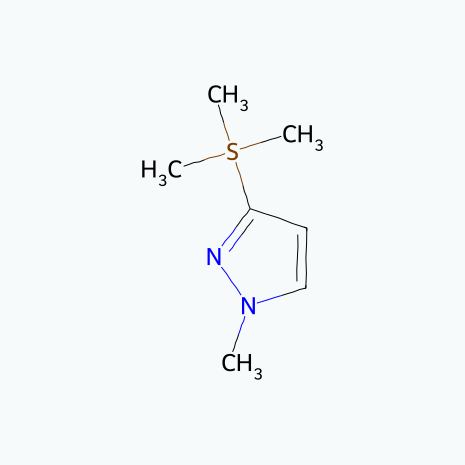 Cn1ccc(S(C)(C)C)n1